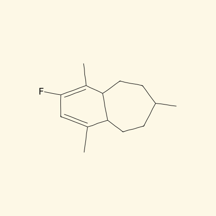 CC1=CC(F)=C(C)C2CCC(C)CCC12